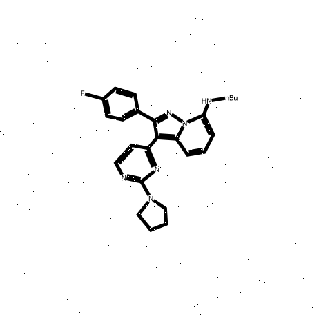 CCCCNc1cccc2c(-c3ccnc(N4CCCC4)n3)c(-c3ccc(F)cc3)nn12